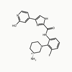 N[C@@H]1CCCN(c2c(F)cccc2NC(=O)c2nc(-c3ccnc(O)c3)c[nH]2)C1